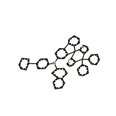 c1ccc(-c2ccc(N(c3ccc4c(c3)C3(c5ccccc5-4)c4ccccc4C(c4ccccc4)(c4ccccc4)c4ccccc43)c3ccc4ccccc4c3)cc2)cc1